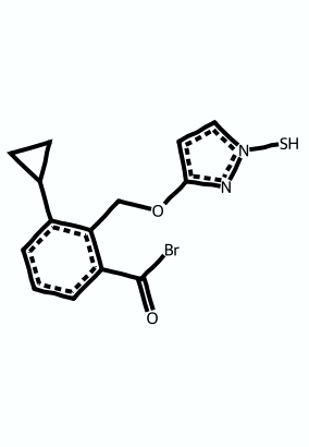 O=C(Br)c1cccc(C2CC2)c1COc1ccn(S)n1